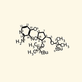 CC(C)(C)[Si](C)(C)OC[C@@H]1C[C@@H](Oc2ccnc(N)c2[N+](=O)[O-])C[C@@H]1O[Si](C)(C)C(C)(C)C